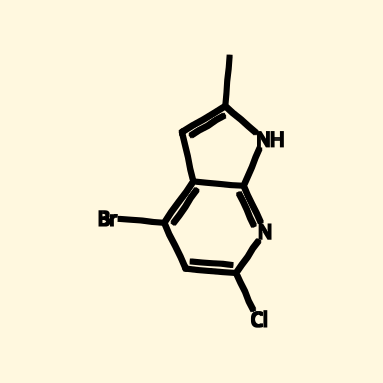 Cc1cc2c(Br)cc(Cl)nc2[nH]1